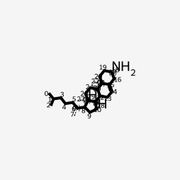 CC(C)CCC[C@@H](C)C1CC[C@H]2C3CC=C4C[C@@H](N)CC[C@]4(C)[C@H]3CC[C@]12C